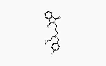 COCCN(CCCN1C(=O)c2ccccc2C1=O)Cc1ccc(F)cc1